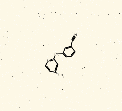 Cc1ccnc(Oc2cccc(C#N)c2)c1